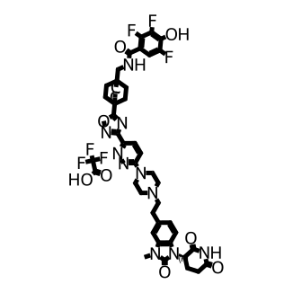 Cn1c(=O)n([C@@H]2CCC(=O)NC2=O)c2ccc(CCN3CCN(c4ccc(-c5noc(C67CCC(CNC(=O)c8cc(F)c(O)c(F)c8F)(CC6)CC7)n5)nn4)CC3)cc21.O=C(O)C(F)(F)F